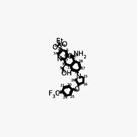 CCS(=O)(=O)c1ccc([C@H](CO)c2cc(N3CCC(Oc4ccc(C(F)(F)F)cc4)C3)ccc2C(N)=O)nc1